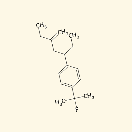 C=C(CC)CC(CC)c1ccc(C(C)(C)F)cc1